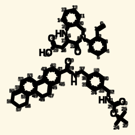 C=Cc1ccccc1N1Cc2ccccc2NC(CC(=O)O)C1=O.CC(C)(C)OC(=O)NCc1ccc(CNC(=O)c2ccc3c(c2)=CCc2c4c(ccc2=3)=CCCC4)cc1